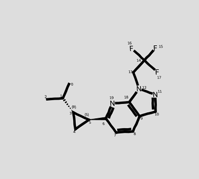 CC(C)[C@H]1C[C@@H]1c1ccc2cnn(CC(F)(F)F)c2n1